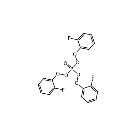 O=P(OOc1ccccc1F)(OOc1ccccc1F)OOc1ccccc1F